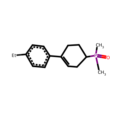 CCc1ccc(C2=CCC(P(C)(C)=O)CC2)cc1